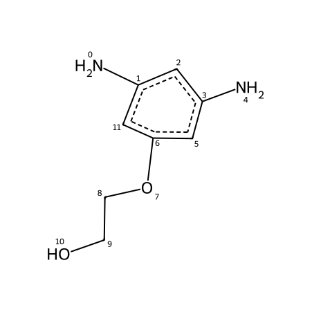 Nc1cc(N)cc(OCCO)c1